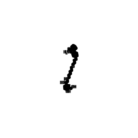 NS(=O)(=O)c1ccccc1-c1ccc(CCCCOCCCCCCNC[C@H](O)c2ccc(O)c(CO)c2)cc1